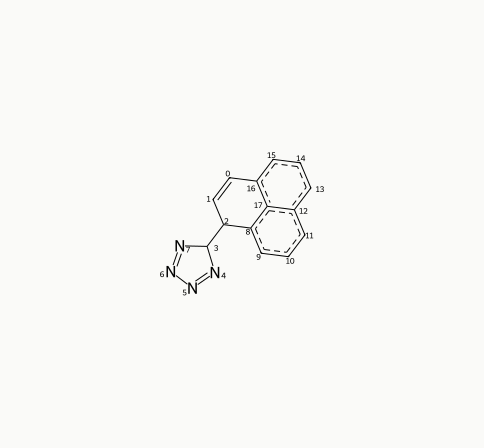 C1=CC(C2N=NN=N2)c2cccc3cccc1c23